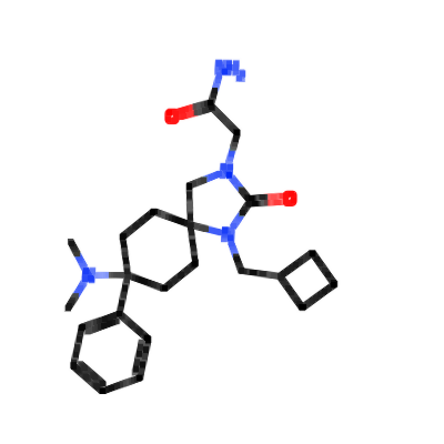 CN(C)C1(c2ccccc2)CCC2(CC1)CN(CC(N)=O)C(=O)N2CC1CCC1